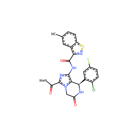 CNC(=O)c1nc(NC(=O)c2nsc3ccc(C#N)cc23)c2n1CC(=O)N[C@@H]2c1cc(F)ccc1Cl